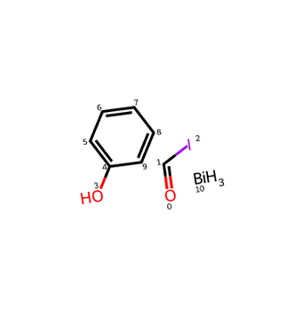 O=CI.Oc1ccccc1.[BiH3]